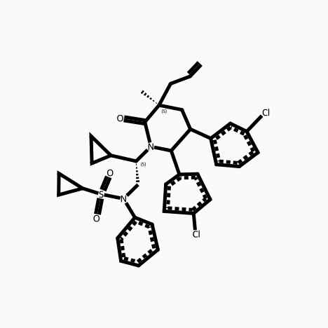 C=CC[C@@]1(C)CC(c2cccc(Cl)c2)C(c2ccc(Cl)cc2)N([C@H](CN(c2ccccc2)S(=O)(=O)C2CC2)C2CC2)C1=O